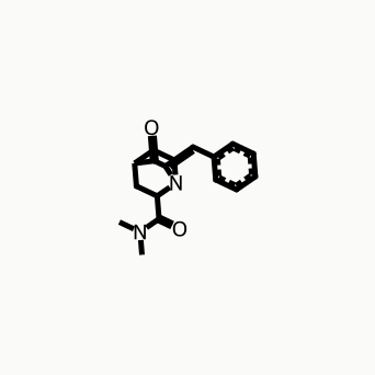 CN(C)C(=O)C1CC2CCN1C(=Cc1ccccc1)C2=O